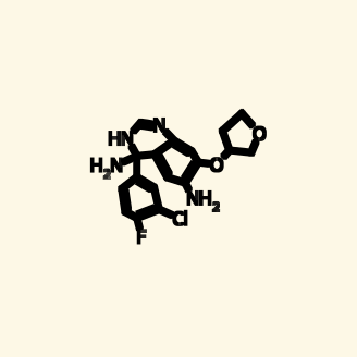 Nc1cc2c(cc1OC1CCOC1)N=CNC2(N)c1ccc(F)c(Cl)c1